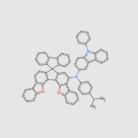 CC(C)c1ccc(N(c2ccc3c(c2)c2ccccc2n3-c2ccccc2)c2cc3c(c4oc5ccccc5c24)-c2c(ccc4c2oc2ccccc24)C32c3ccccc3-c3ccccc32)cc1